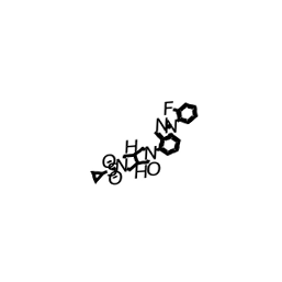 O=C1[C@@H]2CN(S(=O)(=O)C3CC3)C[C@@H]2CN1c1cccc2c1cnn2-c1ccccc1F